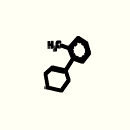 Cc1ccccc1C1=CC[CH]CC1